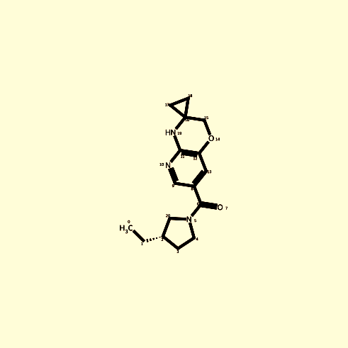 CC[C@H]1CCN(C(=O)c2cnc3c(c2)OCC2(CC2)N3)C1